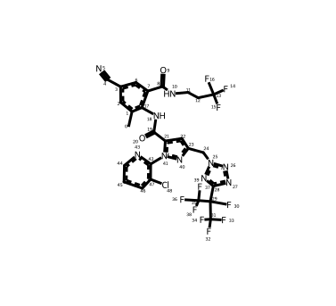 Cc1cc(C#N)cc(C(=O)NCCC(F)(F)F)c1NC(=O)c1cc(Cn2nnc(C(F)(C(F)(F)F)C(F)(F)F)n2)nn1-c1ncccc1Cl